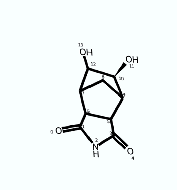 O=C1NC(=O)C2C1C1CC2[C@H](O)C1O